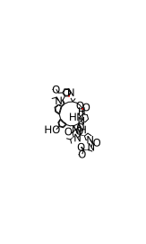 CCn1c(-c2cnccc2COC)c2c3cc(ccc31)-c1cc(O)cc(c1)C[C@H](NC(=O)[C@H](C(C)C)N(C)C(=O)[C@H]1CCN(C(=O)N3C[C@H]3C(=O)OC)C1)C(=O)N1CCC[C@H](N1)C(=O)OCC(C)(C)C2